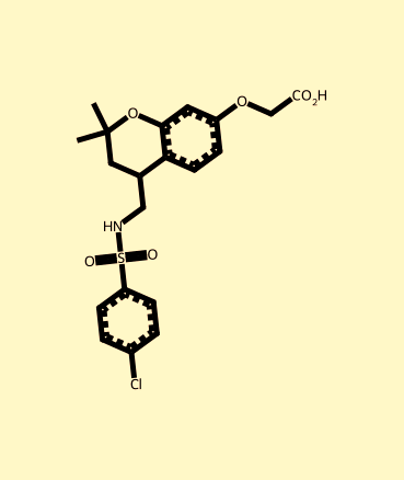 CC1(C)CC(CNS(=O)(=O)c2ccc(Cl)cc2)c2ccc(OCC(=O)O)cc2O1